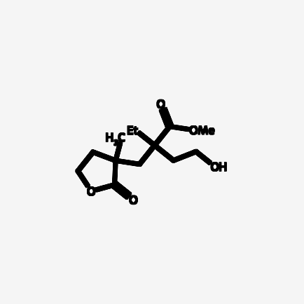 CCC(CCO)(CC1(C)CCOC1=O)C(=O)OC